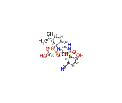 CCN(c1cc(C(C)C)ccc1CCNS(=O)(=O)c1cc(C#N)ccc1O)S(=O)(=O)CC(=O)O